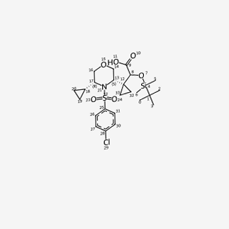 CC(C)(C)[Si](C)(C)OC(C(=O)O)C1([C@H]2COC[C@@H](C3CC3)N2S(=O)(=O)c2ccc(Cl)cc2)CC1